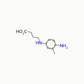 Cc1cc(NCCCC(=O)O)ccc1N